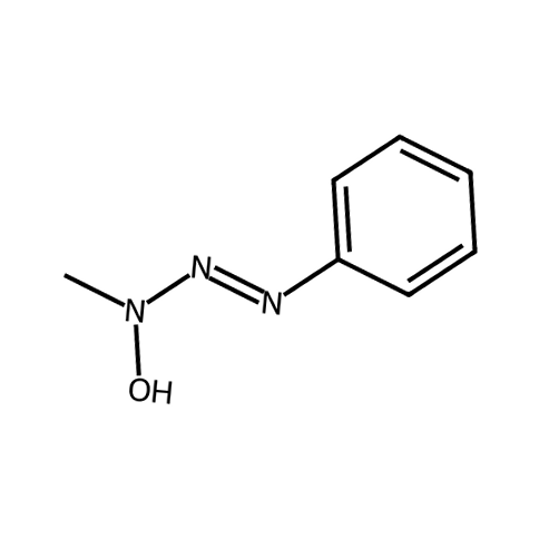 CN(O)N=Nc1ccccc1